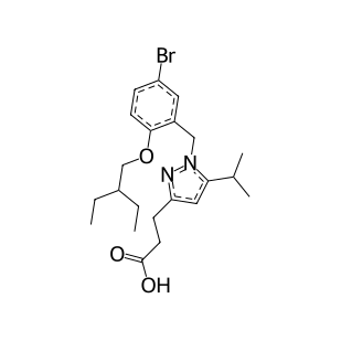 CCC(CC)COc1ccc(Br)cc1Cn1nc(CCC(=O)O)cc1C(C)C